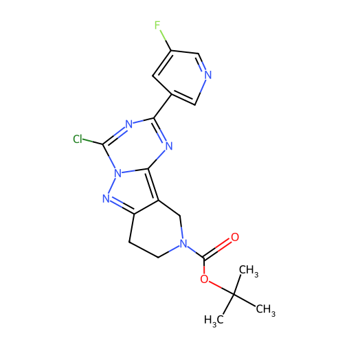 CC(C)(C)OC(=O)N1CCc2nn3c(Cl)nc(-c4cncc(F)c4)nc3c2C1